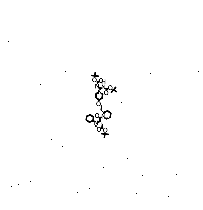 CN(C1CCCCC1)[C@@H](CC(=O)OC(C)(C)C)C(=O)N1CCCC[C@@H]1CCOC1CCN(C(=NC(=O)OC(C)(C)C)NC(=O)OC(C)(C)C)CC1